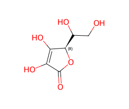 O=C1O[C@H](C(O)CO)C(O)=C1O